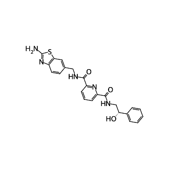 Nc1nc2ccc(CNC(=O)c3cccc(C(=O)NC[C@@H](O)c4ccccc4)n3)cc2s1